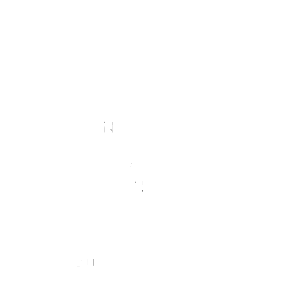 CC(C)(C)c1ccc(N2B3c4cc5c(cc4-n4c6cc7c(cc6c6ccc(c3c64)-c3cc4c(cc32)oc2ccccc24)C(C)(C)c2ccccc2-7)C(C)(C)c2ccccc2-5)cc1